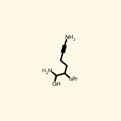 CCCC(CCC#CN)C(N)O